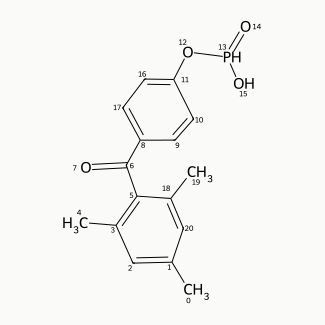 Cc1cc(C)c(C(=O)c2ccc(O[PH](=O)O)cc2)c(C)c1